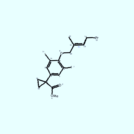 COC(=O)C1(c2cc(I)c(OC/C(C)=C/CC(C)C)c(I)c2)CC1